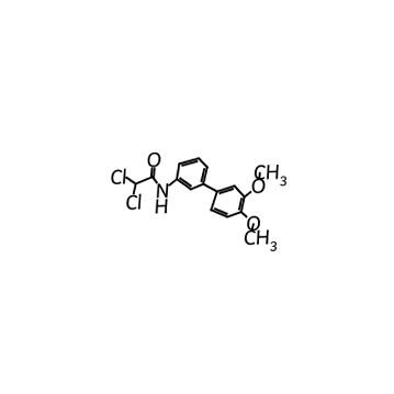 COc1ccc(-c2cccc(NC(=O)C(Cl)Cl)c2)cc1OC